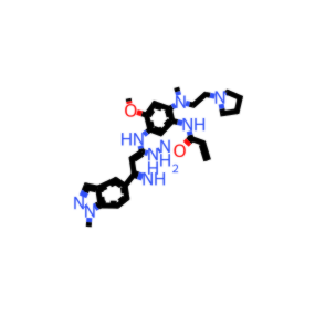 C=CC(=O)Nc1cc(N/C(=C/C(=N)c2ccc3c(cnn3C)c2)NN)c(OC)cc1N(C)CCN1CCCC1